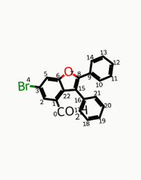 O=C(O)c1cc(Br)cc2oc(-c3ccccc3)c(-c3ccccc3)c12